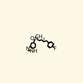 CN(CCCCc1ccc(F)cc1)C(=O)C1CCc2[nH]cnc2C1